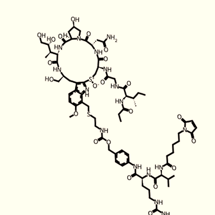 CCC(=O)N[C@@H](C(=O)NCC(=O)N[C@H]1C[S+]([O-])c2[nH]c3c(CSCCNC(=O)OCc4ccc(NC(=O)[C@H](CCCNC(N)=O)NC(=O)[C@@H](NC(=O)CCCCCN5C(=O)C=CC5=O)C(C)C)cc4)c(OC)ccc3c2C[C@@H](CO)NC(=O)[C@H]([C@@H](C)[C@@H](O)CO)NC(=O)[C@H]2C[C@@H](O)CN2C(=O)[C@H](CC(N)=O)NC1=O)[C@@H](C)CC